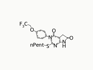 CCCCCSc1nc2c(c(=O)n1-c1ccc(OCC(F)(F)F)cc1)CC(=O)N2